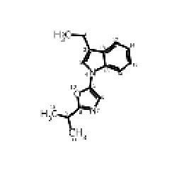 CCc1cn(-c2cnc(C(C)C)o2)c2ccccc12